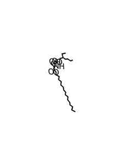 CCCCCCCCCCCCCCCCOC(=O)C(CO)NC(=O)OCC(CC)CCCC